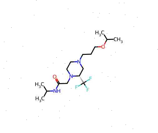 CC(C)NC(=O)CN1CCN(CCCOC(C)C)C[C@@H]1C(F)(F)F